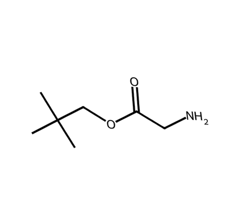 CC(C)(C)COC(=O)CN